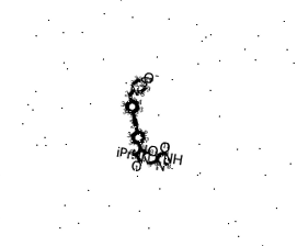 CC(C)N1C(=O)N(Cc2nc[nH]c(=O)c2O)CC1c1ccc(C#Cc2ccc(CN3CC[S+]([O-])CC3)cc2)cc1